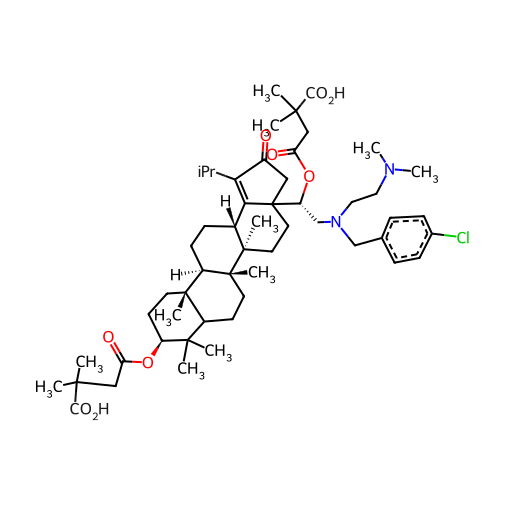 CC(C)C1=C2[C@H]3CC[C@@H]4[C@@]5(C)CC[C@H](OC(=O)CC(C)(C)C(=O)O)C(C)(C)C5CC[C@@]4(C)[C@]3(C)CCC2([C@@H](CN(CCN(C)C)Cc2ccc(Cl)cc2)OC(=O)CC(C)(C)C(=O)O)CC1=O